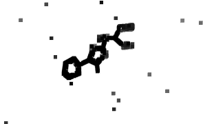 Cc1sc(NC(C=O)C(C)(C)C)nc1-c1ccccc1